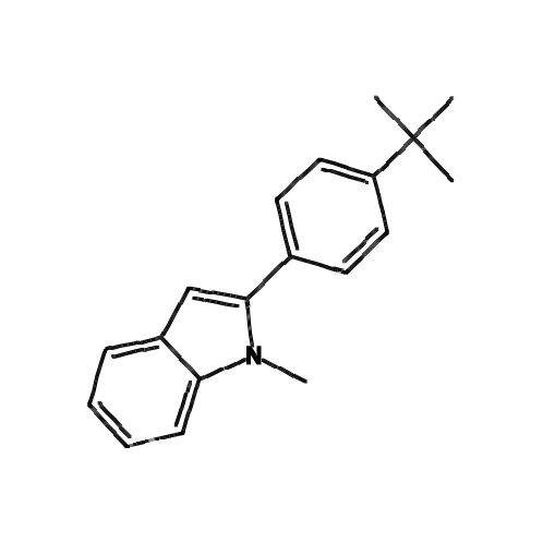 Cn1c(-c2ccc(C(C)(C)C)cc2)cc2ccccc21